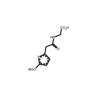 COc1ccc(CC(=O)NCC(=O)O)s1